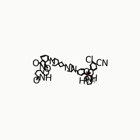 N#Cc1ccc(OC2C[C@H]3CC[C@@H](C2)N3C(=O)c2ccc(N3CCN(C4CC5(CCN(c6cccc7c6C(=O)N(C6CCC(=O)NC6=O)C7=O)CC5)C4)CC3)cc2)cc1Cl